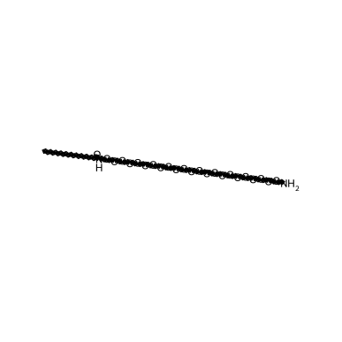 CCCCCCCCCCCCCCCCCCCCCC(=O)NCCOCCOCCOCCOCCOCCOCCOCCOCCOCCOCCOCCOCCOCCOCCOCCOCCOCCOCCOCCOCCOCCOCCOCCN